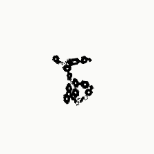 C=Cc1ccc(OCC[Si](C)(C)CCCC2(c3ccccc3)c3ccccc3-c3ccc(N(c4ccc(-c5ccccc5)cc4)c4ccc(-c5ccc6c(c5)c5cc(-c7ccc(C=C)cc7)ccc5n6-c5ccccc5)cc4)cc32)cc1